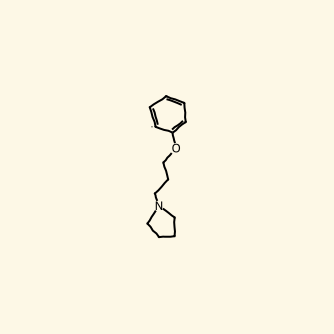 [c]1ccccc1OCCCN1CCCC1